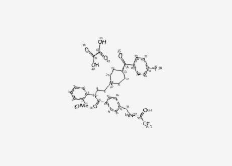 COc1ccccc1N(CCN1CCC(C(=O)c2ccc(F)cc2)CC1)C(=O)c1ccc(CNC(=O)C(F)(F)F)cc1.O=C(O)C(=O)O